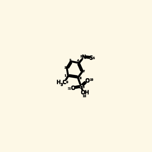 Cc1ccc(N=S)cc1S(=O)(=O)O